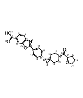 O=C(O)c1ccc2nc(-c3ccc([C@H]4CC45CCN(C(=O)[C@H]4CCCO4)CC5)cc3)oc2c1